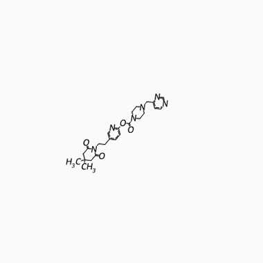 CC1(C)CC(=O)N(CCc2ccc(OC(=O)N3CCN(Cc4ccncn4)CC3)nc2)C(=O)C1